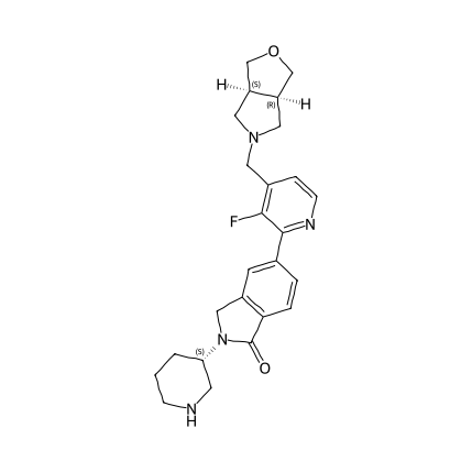 O=C1c2ccc(-c3nccc(CN4C[C@H]5COC[C@H]5C4)c3F)cc2CN1[C@H]1CCCNC1